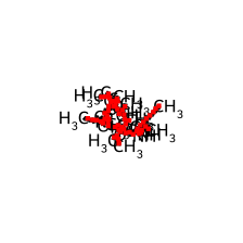 CCCCCCCCCCCCOC1=C(c2ccc(C)s2)C(=N)C(=N)C(c2ccc(-c3cc4c(OCC(CC)CCCC)c5sc(-c6ccc(-c7sc(-c8ccc(-c9cc%10c(OCC(CC)CCCC)c%11sc(C)cc%11c(OCC(CC)CCCC)c%10s9)s8)c8c7C(=O)N(CCCCCCCC)C8=O)s6)cc5c(OCC(CC)CCCC)c4s3)s2)=C1C